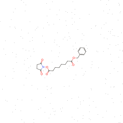 O=C(CCCCCCC(=O)ON1C(=O)CCC1=O)OCc1ccccc1